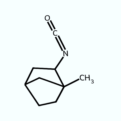 CC12CCC(CC1N=C=O)C2